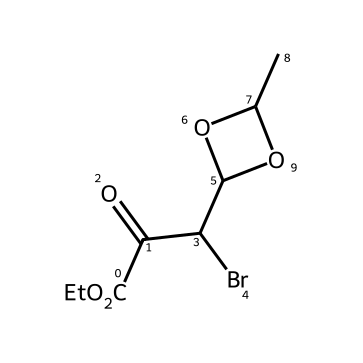 CCOC(=O)C(=O)C(Br)C1OC(C)O1